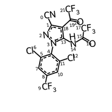 N#Cc1nn(-c2c(Cl)cc(C(F)(F)F)cc2Cl)c(NC(=O)C(F)(F)F)c1C(=O)C(F)(F)F